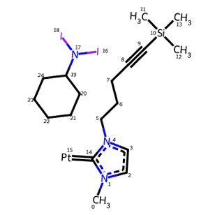 Cn1ccn(CCCC#C[Si](C)(C)C)[c]1=[Pt].IN(I)C1CCCCC1